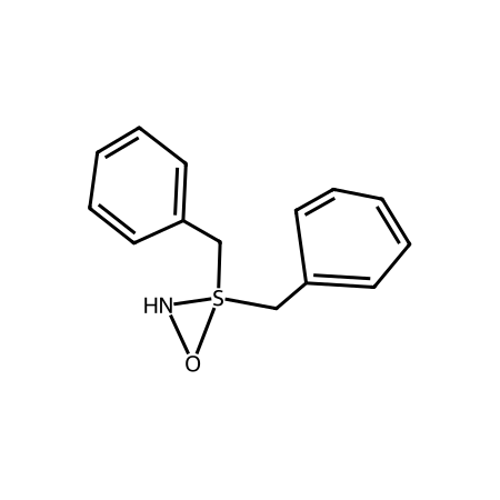 c1ccc(CS2(Cc3ccccc3)NO2)cc1